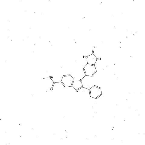 CNC(=O)c1ccc2c(c1)nc(-c1ccccc1)n2-c1ccc2[nH]c(=O)[nH]c2c1